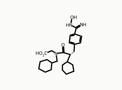 N=C(NO)c1ccc(C[C@@H](C(=O)N(CC(=O)O)CC2CCCCC2)C2CCCCC2)cc1